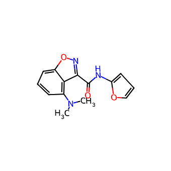 CN(C)c1cccc2onc(C(=O)Nc3ccco3)c12